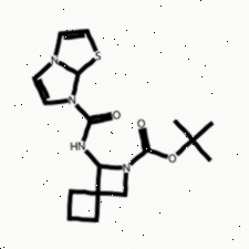 CC(C)(C)OC(=O)N1CC2(CCC2)C1NC(=O)N1C=CN2C=CSC21